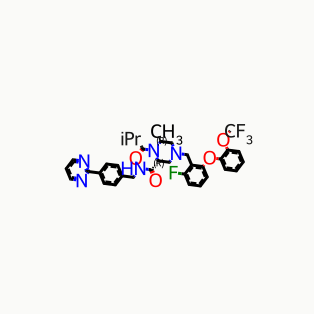 CC(C)C(=O)N1[C@H](C)CN(Cc2c(F)cccc2Oc2ccccc2OC(F)(F)F)C[C@@H]1C(=O)NCc1ccc(-c2ncccn2)cc1